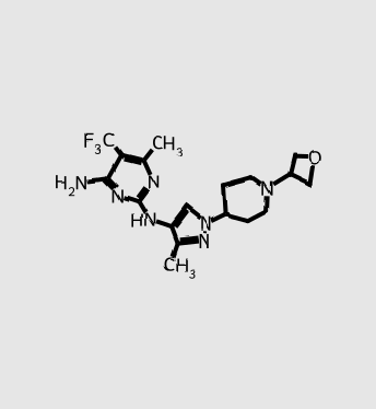 Cc1nn(C2CCN(C3COC3)CC2)cc1Nc1nc(C)c(C(F)(F)F)c(N)n1